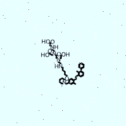 Cc1cc(CN2CCCC[C@H]2C)c(OCCCCCNCCN(CCN(CCNCC(=O)O)CC(=O)O)CC(=O)O)cc1/C=C/c1cccc(-c2ccccc2)c1C